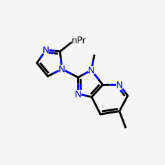 CCCc1nccn1-c1nc2cc(C)cnc2n1C